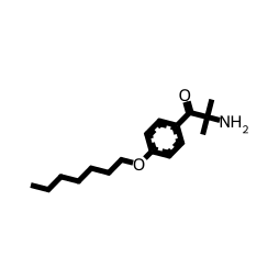 CCCCCCCOc1ccc(C(=O)C(C)(C)N)cc1